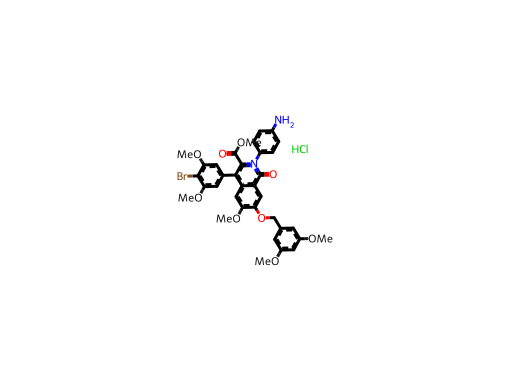 COC(=O)c1c(-c2cc(OC)c(Br)c(OC)c2)c2cc(OC)c(OCc3cc(OC)cc(OC)c3)cc2c(=O)n1-c1ccc(N)cc1.Cl